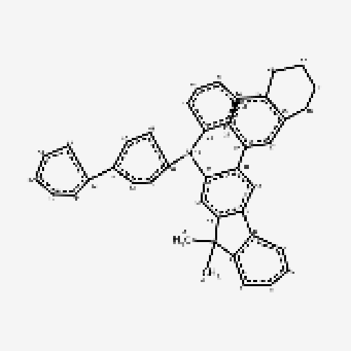 CC1(C)c2ccccc2-c2cc(-c3ccc4c(c3)CCCC4)c(N(c3ccccc3)c3ccc(-c4ccccc4)cc3)cc21